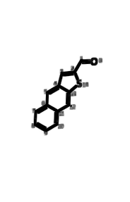 O=Cc1cc2cc3ccccc3cc2s1